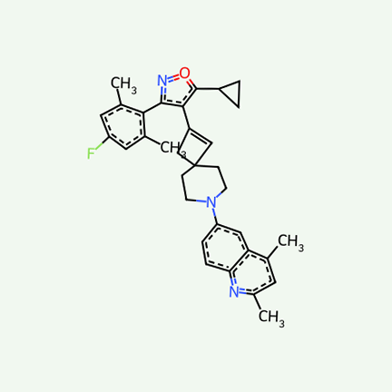 Cc1cc(C)c2cc(N3CCC4(C=C(c5c(-c6c(C)cc(F)cc6C)noc5C5CC5)C4)CC3)ccc2n1